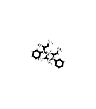 CCC(C)N([SiH2]C(C)[SiH2]N(C(C)CC)C1CCCCC1)C1CCCCC1